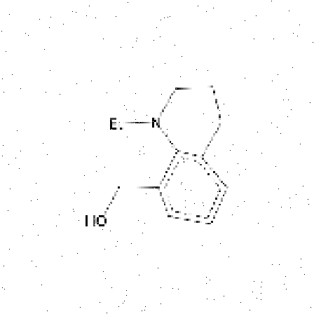 CCN1CCCc2cccc(CO)c21